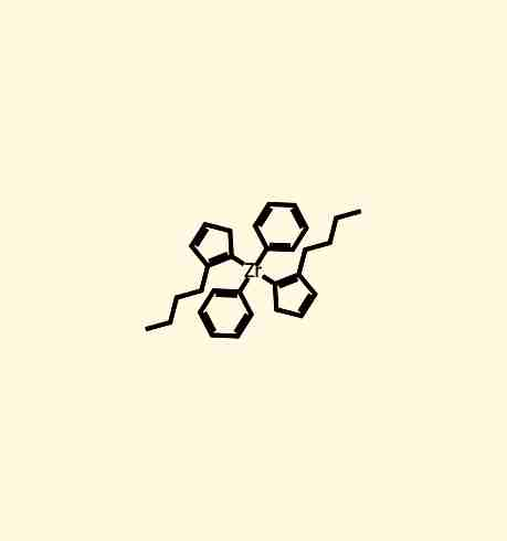 CCCCC1=[C]([Zr]([C]2=C(CCCC)C=CC2)([c]2ccccc2)[c]2ccccc2)CC=C1